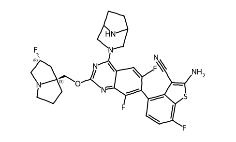 N#Cc1c(N)sc2c(F)ccc(-c3c(F)cc4c(N5CC6CCC(C5)N6)nc(OC[C@@]56CCCN5C[C@H](F)C6)nc4c3F)c12